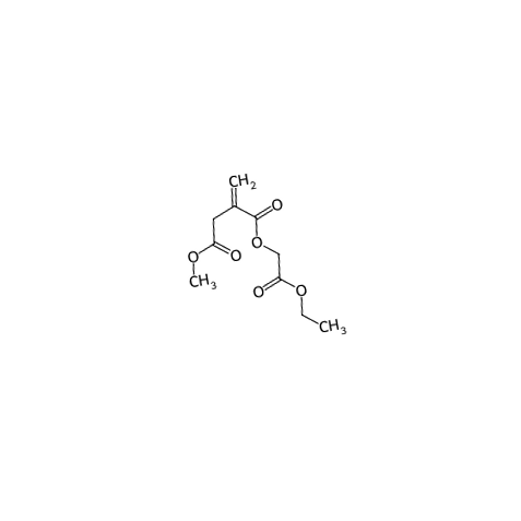 C=C(CC(=O)OC)C(=O)OCC(=O)OCC